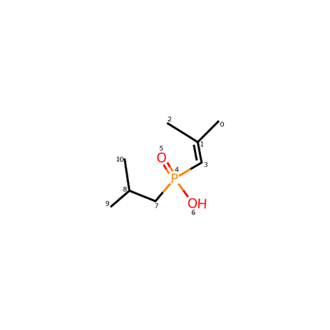 CC(C)=CP(=O)(O)CC(C)C